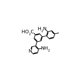 Cc1ccc(-c2cc(C(=O)O)cc(-c3cnccc3N)c2)c(N)c1